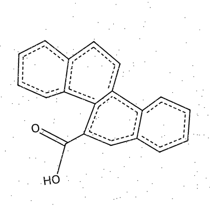 O=C(O)c1cc2ccccc2c2ccc3ccccc3c12